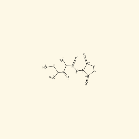 COC(CO)C(=O)C(C)C(=O)ON1C(=O)CCC1=O